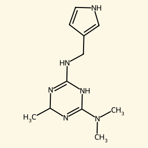 CC1N=C(NCc2cc[nH]c2)NC(N(C)C)=N1